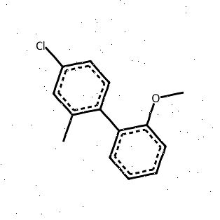 COc1ccccc1-c1ccc(Cl)cc1C